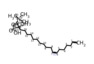 C=CCCCC/C=C\CCCCCCCCCCC(O)(C[N+](C)(C)C)P(=O)(O)O